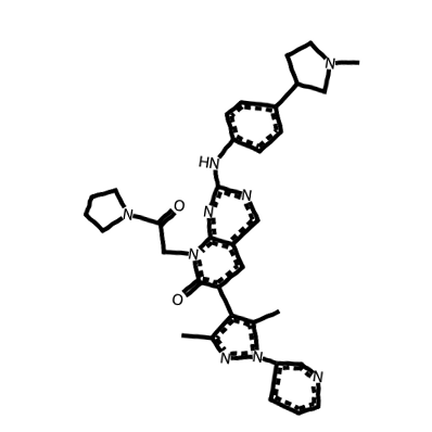 Cc1nn(-c2cccnc2)c(C)c1-c1cc2cnc(Nc3ccc(C4CCN(C)C4)cc3)nc2n(CC(=O)N2CCCC2)c1=O